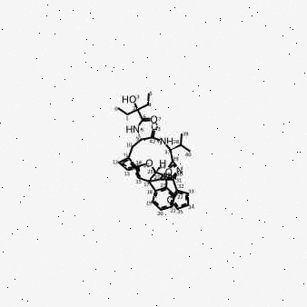 CCC(O)(CC)C(=O)N[C@H]1Cc2ccc3c(c2)C2(c4ccccc4N[C@H]2O3)c2oc(nc2-c2ccco2)[C@H](C(C)C)NC1=O